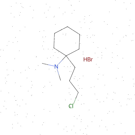 Br.CN(C)C1(CCCCl)CCCCC1